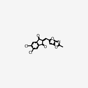 Cc1nc2oc(C=C3C(=O)c4cc(Cl)c(Cl)cc4C3=O)cc2o1